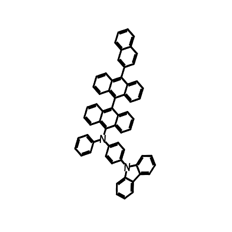 c1ccc(N(c2ccc(-n3c4ccccc4c4ccccc43)cc2)c2c3ccccc3c(-c3c4ccccc4c(-c4ccc5ccccc5c4)c4ccccc34)c3ccccc23)cc1